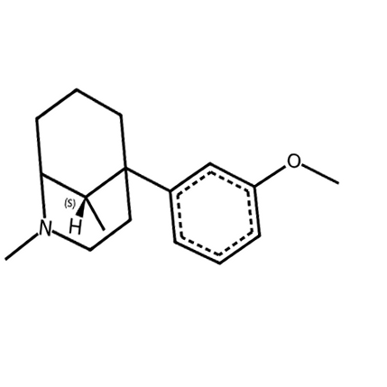 COc1cccc(C23CCCC([C@H]2C)N(C)CC3)c1